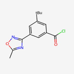 Cc1nc(-c2cc(C(=O)Cl)cc(C(C)(C)C)c2)no1